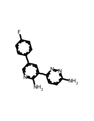 Nc1ccc(-c2cc(-c3ccc(F)cc3)cnc2N)nn1